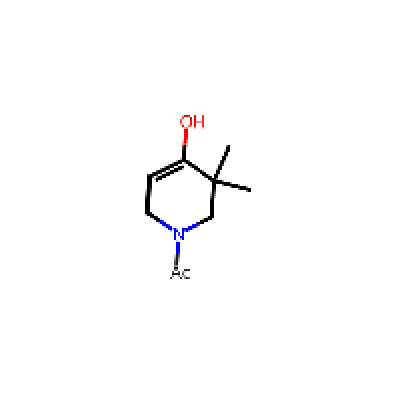 CC(=O)N1CC=C(O)C(C)(C)C1